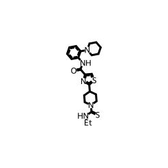 CCNC(=S)N1CCC(c2nc(C(=O)Nc3ccccc3N3CCCCC3)cs2)CC1